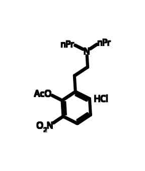 CCCN(CCC)CCc1cccc([N+](=O)[O-])c1OC(C)=O.Cl